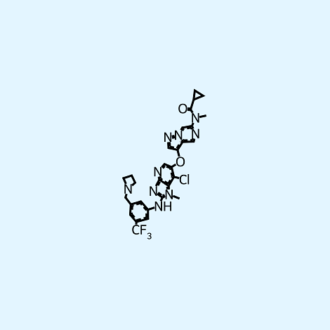 CN(C(=O)C1CC1)c1cn2ncc(Oc3cnc4nc(Nc5cc(CN6CCC6)cc(C(F)(F)F)c5)n(C)c4c3Cl)c2cn1